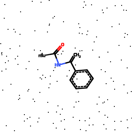 C=C(NC(=O)CCCC)c1ccccc1